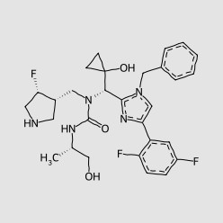 C[C@@H](CO)NC(=O)N(C[C@@H]1CNC[C@@H]1F)[C@@H](c1nc(-c2cc(F)ccc2F)cn1Cc1ccccc1)C1(O)CC1